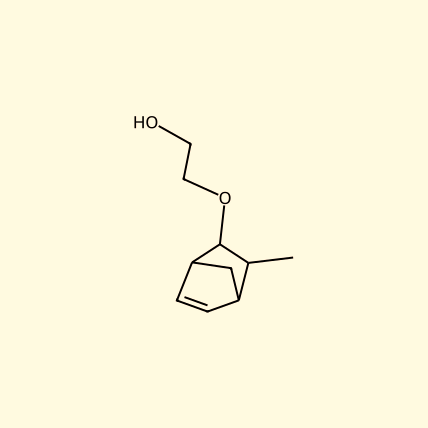 CC1C2C=CC(C2)C1OCCO